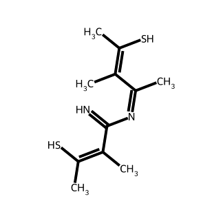 CC(=N/C(=N)/C(C)=C(/C)S)/C(C)=C(/C)S